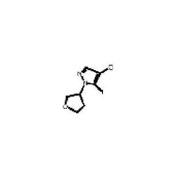 Clc1cnn(C2CCOC2)c1I